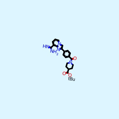 CC(C)(C)OC(=O)C1CCN(C(=O)c2ccc(-c3cn4cccc(C(=N)N)c4n3)cc2)CC1